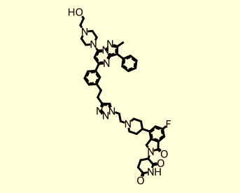 Cc1nn2c(N3CCN(CCO)CC3)cc(-c3cccc(CCc4cn(CCN5CCC(c6cc(F)cc7c6CN(C6CCC(=O)NC6=O)C7=O)CC5)nn4)c3)nc2c1-c1ccccc1